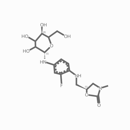 CN1C[C@H](CNc2ccc(N[C@H]3OC(CO)[C@H](O)C(O)C3O)cc2F)OC1=O